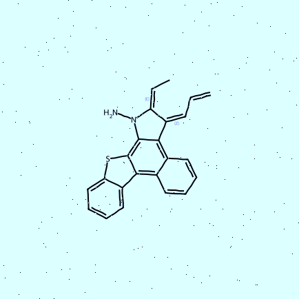 C=C/C=c1\c(=C/C)n(N)c2c3sc4ccccc4c3c3ccccc3c12